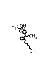 CCCCCCOCC1C2CCC(O2)C1C(CCC)c1cccc(OC(CC)C(=O)O)c1